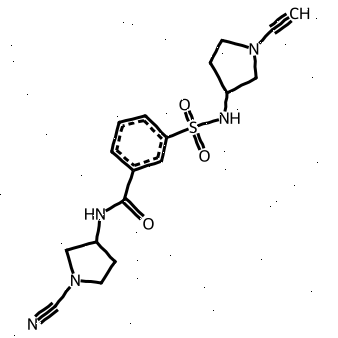 C#CN1CCC(NS(=O)(=O)c2cccc(C(=O)NC3CCN(C#N)C3)c2)C1